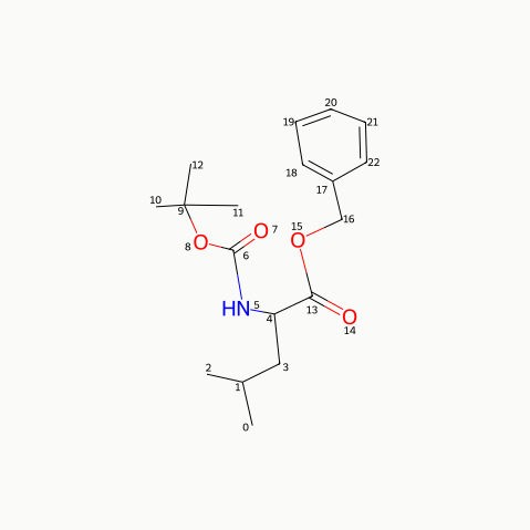 CC(C)CC(NC(=O)OC(C)(C)C)C(=O)OCc1ccccc1